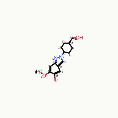 CC(C)Oc1cc2nn(C3CCC(CO)CC3)cc2cc1Br